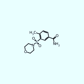 Cc1ccc(C(N)=O)cc1S(=O)(=O)N1CCOCC1